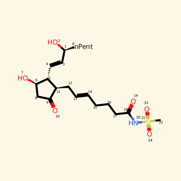 CCCCC[C@H](O)C=C[C@H]1[C@H](O)CC(=O)[C@@H]1CC=CCCCC(=O)NS(C)(=O)=O